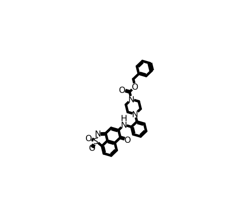 O=C1C(Nc2ccccc2N2CCN(C(=O)OCc3cc#ccc3)CC2)=CC2=NS(=O)(=O)c3cccc1c32